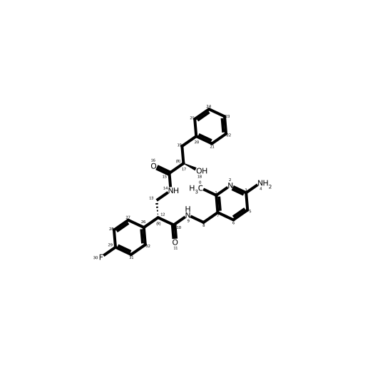 Cc1nc(N)ccc1CNC(=O)[C@@H](CNC(=O)[C@H](O)Cc1ccccc1)c1ccc(F)cc1